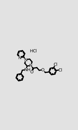 Cl.O=C(CCOCc1ccc(Cl)c(Cl)c1)N1CCN(c2ccccn2)CC1NCc1ccccc1